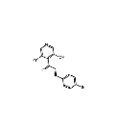 O=C(C=Cc1ccc(Br)cc1)c1c(O)cncc1Cl